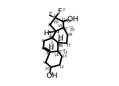 C[C@]1(F)C[C@H]2[C@@H]3CC=C4CC(O)CC[C@]4(C)[C@H]3CC[C@]2(C)C1O